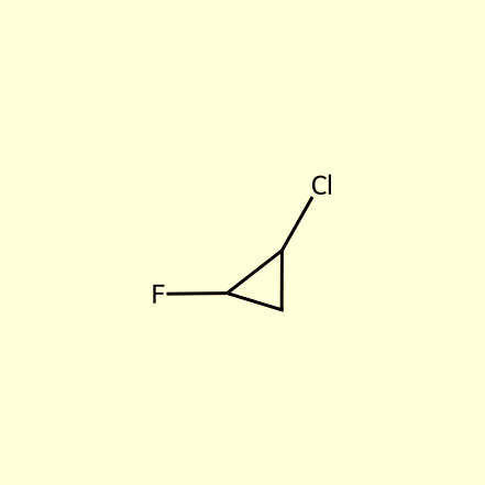 FC1CC1Cl